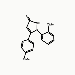 COc1ccc(-c2cc(=O)[nH]n2-c2ccccc2OC)cc1